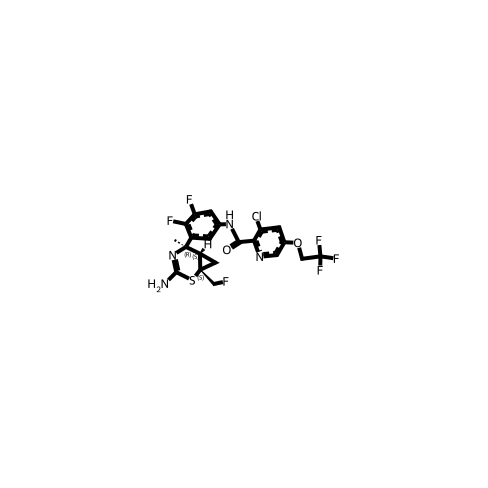 C[C@@]1(c2cc(NC(=O)c3ncc(OCC(F)(F)F)cc3Cl)cc(F)c2F)N=C(N)S[C@@]2(CF)C[C@H]21